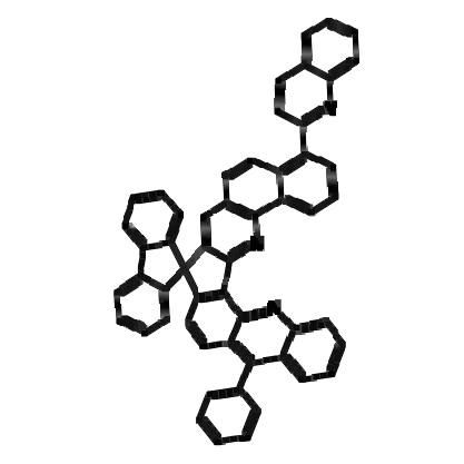 c1ccc(-c2c3ccccc3nc3c4c(ccc23)C2(c3ccccc3-c3ccccc32)c2cc3ccc5c(-c6ccc7ccccc7n6)cccc5c3nc2-4)cc1